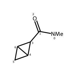 CNC(=O)C1C2CC21